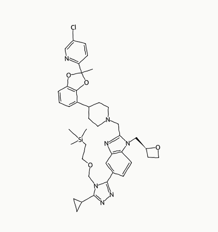 CC1(c2ccc(Cl)cn2)Oc2cccc(C3CCN(Cc4nc5cc(-c6nnc(C7CC7)n6COCC[Si](C)(C)C)ccc5n4C[C@@H]4CCO4)CC3)c2O1